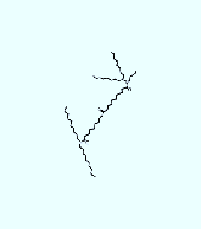 CCCCCCCCCCN(CCCCCCCCCC)C(=O)CCCCCCCCC(=O)CCCCCCCCC(=O)N(CCCC)C(CCCCCCCC)CCCCCCCC